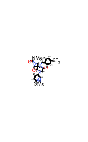 CNC(=O)N1CC2(C1)C(=O)N(c1ccc(OC)nc1)CC(=O)N2Cc1ccc(C(F)(F)F)cc1